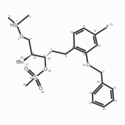 C[SiH](C)OC[C@@H]([C@H](CCc1ccc(F)cc1OCc1ccccc1)OS(C)(=O)=O)C(C)(C)C